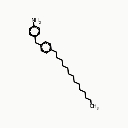 CCCCCCCCCCCCCCc1ccc(Cc2ccc(N)cc2)cc1